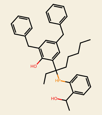 CCCCCC(CC)(Pc1ccccc1C(C)O)c1cc(Cc2ccccc2)cc(Cc2ccccc2)c1O